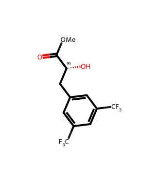 COC(=O)[C@H](O)Cc1cc(C(F)(F)F)cc(C(F)(F)F)c1